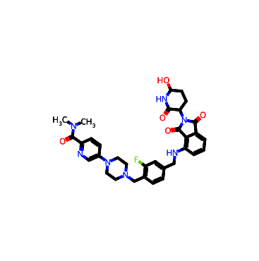 CN(C)C(=O)c1ccc(N2CCN(Cc3ccc(CNc4cccc5c4C(=O)N(C4CCC(O)NC4=O)C5=O)cc3F)CC2)cn1